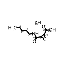 CCCCCNC(=O)C1OC1C(=O)O.[KH]